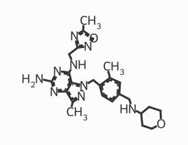 Cc1nc(CNc2nc(N)nc3c(C)nn(Cc4ccc(CNC5CCOCC5)cc4C)c23)no1